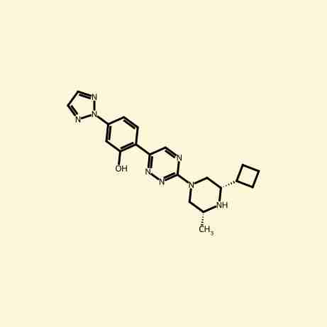 C[C@@H]1CN(c2ncc(-c3ccc(-n4nccn4)cc3O)nn2)C[C@H](C2CCC2)N1